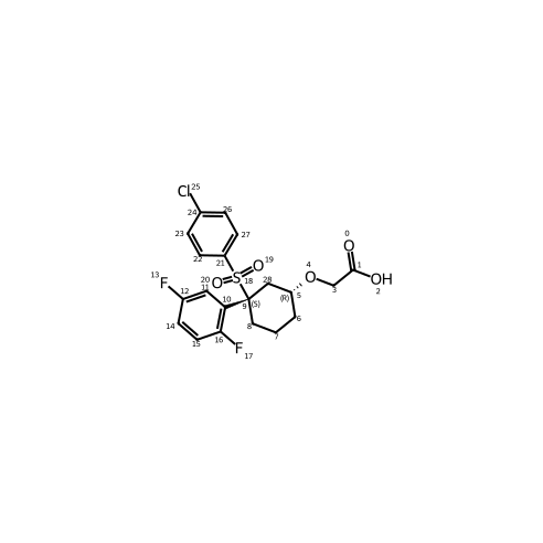 O=C(O)CO[C@@H]1CCC[C@](c2cc(F)ccc2F)(S(=O)(=O)c2ccc(Cl)cc2)C1